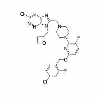 Fc1cc(Cl)ccc1COc1ccc(F)c(N2CCN(Cc3nc4cc(Cl)nnc4n3CC3CCO3)CC2)n1